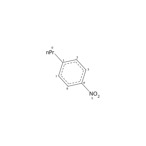 [CH2]CCc1ccc([N+](=O)[O-])cc1